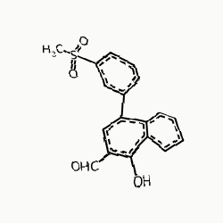 CS(=O)(=O)c1cccc(-c2cc(C=O)c(O)c3ccccc23)c1